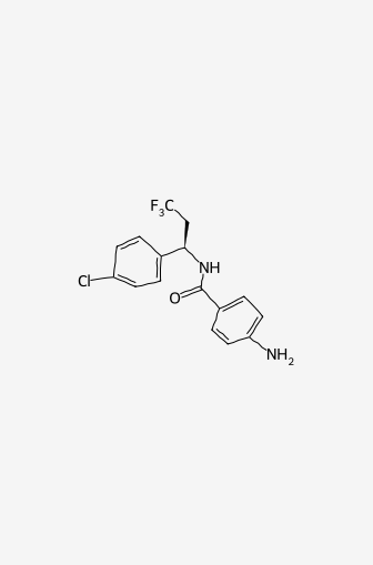 Nc1ccc(C(=O)N[C@H](CC(F)(F)F)c2ccc(Cl)cc2)cc1